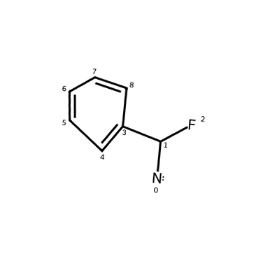 [N]C(F)c1ccccc1